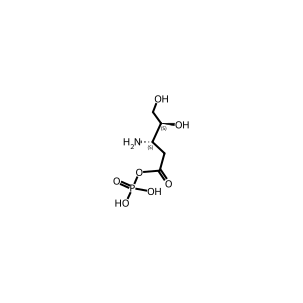 N[C@@H](CC(=O)OP(=O)(O)O)[C@H](O)CO